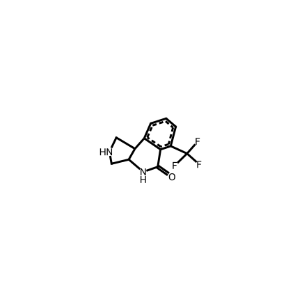 O=C1NC2CNCC2c2cccc(C(F)(F)F)c21